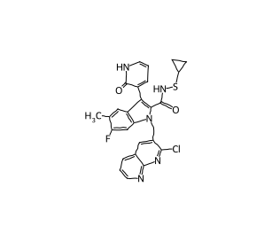 Cc1cc2c(-c3ccc[nH]c3=O)c(C(=O)NSC3CC3)n(Cc3cc4cccnc4nc3Cl)c2cc1F